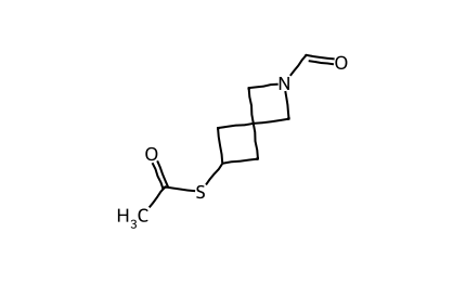 CC(=O)SC1CC2(C1)CN(C=O)C2